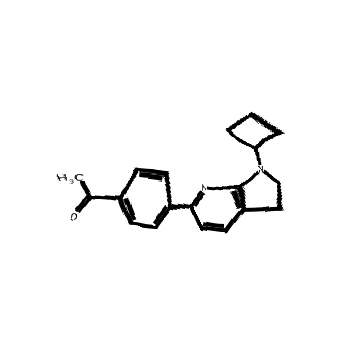 CC(=O)c1ccc(-c2ccc3c(n2)N(C2CCC2)CC3)cc1